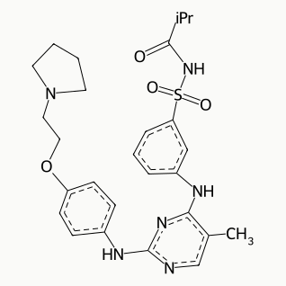 Cc1cnc(Nc2ccc(OCCN3CCCC3)cc2)nc1Nc1cccc(S(=O)(=O)NC(=O)C(C)C)c1